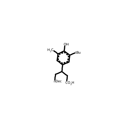 CCCCCCCCCCCC(CC(=O)O)c1cc(C)c(O)c(C(C)(C)C)c1